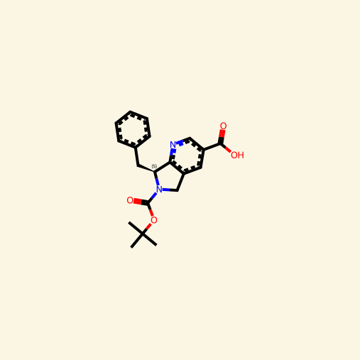 CC(C)(C)OC(=O)N1Cc2cc(C(=O)O)cnc2[C@@H]1Cc1ccccc1